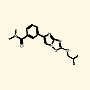 CC(C)CNc1nc2nc(-c3cccc(C(=O)N(C)C)c3)cn2s1